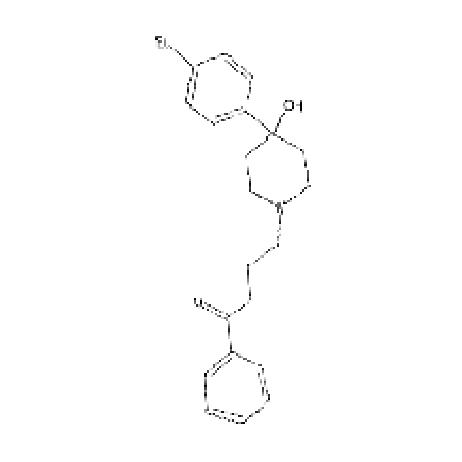 CCc1ccc(C2(O)CCN(CCCC(=O)c3ccccc3)CC2)cc1